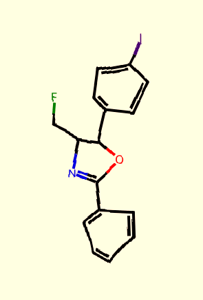 FCC1N=C(c2ccccc2)OC1c1ccc(I)cc1